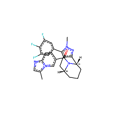 Cc1cnc2ccc(C(=O)N3[C@@H]4CCC[C@H]3c3nn(C)c(-c5cc(F)c(F)c(F)c5)c3C4)cn12